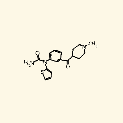 CN1CCC(C(=O)c2cccc(N(C(N)=O)c3cccs3)c2)CC1